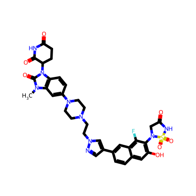 Cn1c(=O)n(C2CCC(=O)NC2=O)c2ccc(N3CCN(CCn4cc(-c5ccc6cc(O)c(N7CC(=O)NS7(=O)=O)c(F)c6c5)cn4)CC3)cc21